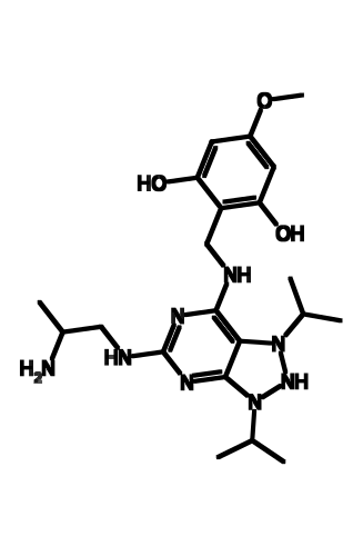 COc1cc(O)c(CNc2nc(NCC(C)N)nc3c2N(C(C)C)NN3C(C)C)c(O)c1